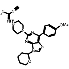 C#[N+]C(=N)N.COc1ccc(-c2nc(N3CCNCC3)nc3c2ncn3C2CCCCO2)cc1